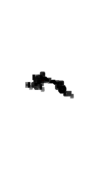 Cc1ccc(S(=O)(=O)OCCCSCCC(NC(=O)OC(C)(C)C)C(=O)O)cc1